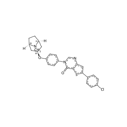 CN1[C@@H]2CC[C@H]1C[C@@H](Oc1ccc(-n3cnc4cc(-c5ccc(Cl)cc5)sc4c3=O)cc1)C2